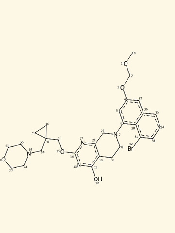 COCOc1cc(N2CCc3c(O)nc(OCC4(CN5CCOCC5)CC4)nc3C2)c2c(Br)cccc2c1